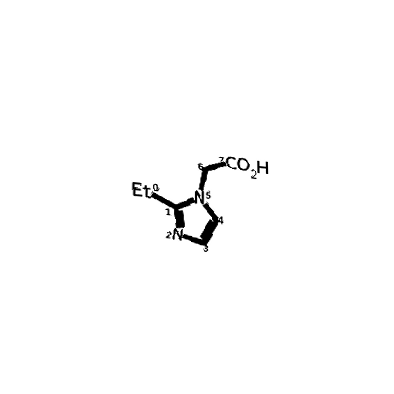 CCc1nccn1CC(=O)O